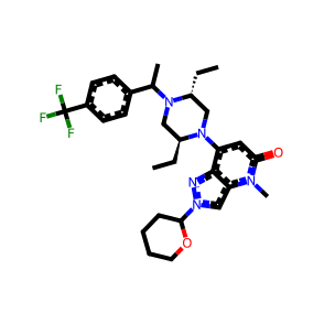 CC[C@H]1CN(C(C)c2ccc(C(F)(F)F)cc2)[C@H](CC)CN1c1cc(=O)n(C)c2cn(C3CCCCO3)nc12